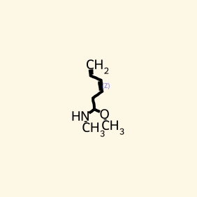 C=C/C=C\CC(NC)OC